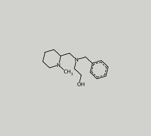 CN1CCCCC1CN(CCO)Cc1ccccc1